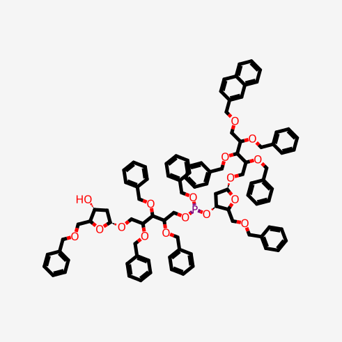 O[C@@H]1C[C@H](OCC(OCc2ccccc2)C(OCc2ccccc2)C(COP(OCc2ccccc2)O[C@@H]2C[C@H](OCC(OCc3ccccc3)C(OCc3ccccc3)C(COCc3ccc4ccccc4c3)OCc3ccccc3)OC2COCc2ccccc2)OCc2ccccc2)OC1COCc1ccccc1